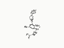 CC(C)(C)OC(=O)N1CCN(c2cc(Br)cc(Nc3nnc(C(F)F)s3)c2N)CC1